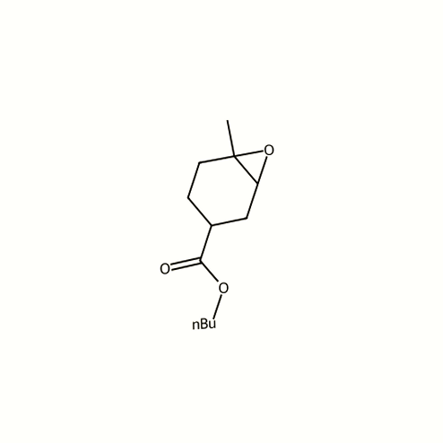 CCCCOC(=O)C1CCC2(C)OC2C1